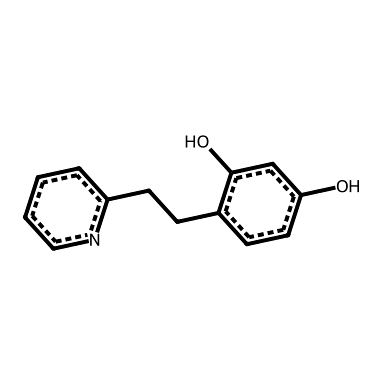 Oc1ccc(CCc2ccccn2)c(O)c1